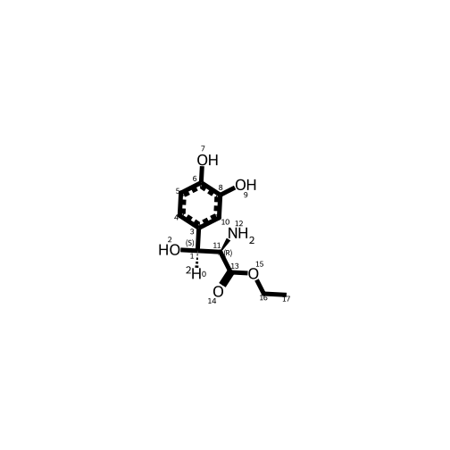 [2H][C@](O)(c1ccc(O)c(O)c1)[C@@H](N)C(=O)OCC